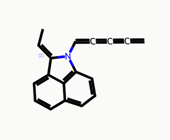 C=C=C=C=Cn1/c(=C\C)c2cccc3cccc1c32